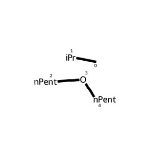 CC(C)C.CCCCCOCCCCC